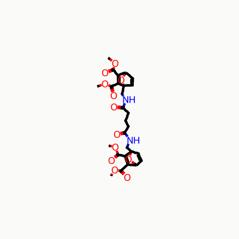 COC(=O)C1=C(C(=O)OC)C2(CNC(=O)CCCC(=O)NCC34C=CC(O3)C(C(=O)OC)=C4C(=O)OC)C=CC1O2